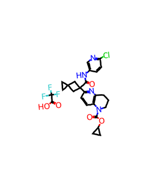 O=C(O)C(F)(F)F.O=C(OC1CC1)N1CCCc2nc(C3(C(=O)Nc4ccc(Cl)nc4)CC4(CC4)C3)ccc21